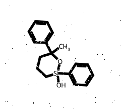 CC1(c2ccccc2)CCC[Si](O)(c2ccccc2)O1